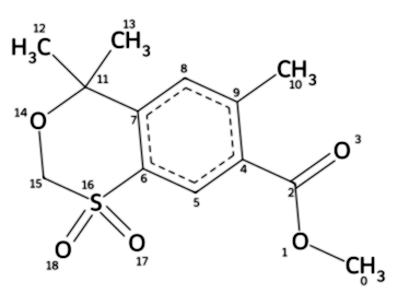 COC(=O)c1cc2c(cc1C)C(C)(C)OCS2(=O)=O